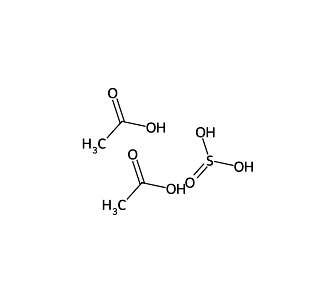 CC(=O)O.CC(=O)O.O=S(O)O